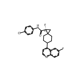 O=C(Nc1ccc(Cl)cc1)[C@@]1(F)CC12CCC(c1ccnc3ccc(F)cc13)CC2